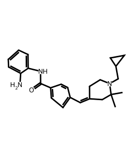 CC1(C)C/C(=C/c2ccc(C(=O)Nc3ccccc3N)cc2)CCN1CC1CC1